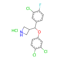 Cl.Fc1ccc(C(Oc2ccc(Cl)c(Cl)c2)C2CNC2)cc1Cl